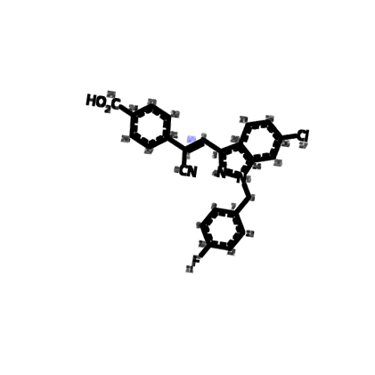 N#C/C(=C\c1nn(Cc2ccc(F)cc2)c2cc(Cl)ccc12)c1ccc(C(=O)O)cc1